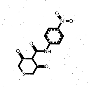 O=C1CSCC(=O)C1C(=O)Nc1ccc([N+](=O)[O-])cc1